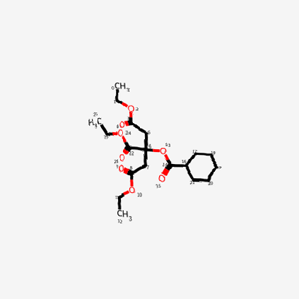 CCOC(=O)CC(CC(=O)OCC)(OC(=O)C1CCCCC1)C(=O)OCC